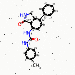 Cc1ccc(NC(=O)Nc2ccc(-c3ccccc3)c3c2C(=O)NC3)cc1